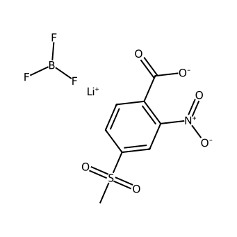 CS(=O)(=O)c1ccc(C(=O)[O-])c([N+](=O)[O-])c1.FB(F)F.[Li+]